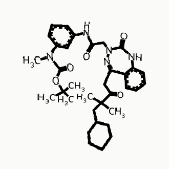 CN(C(=O)OC(C)(C)C)c1cccc(NC(=O)CN2N=C(CC(=O)C(C)(C)CC3CCCCC3)c3ccccc3NC2=O)c1